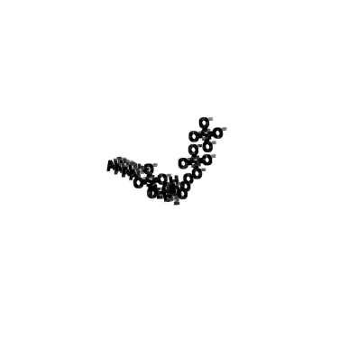 O.O.O.O.O.[Al+3].[Al+3].[Al+3].[Al+3].[O-][Si]([O-])([O-])[O-].[O-][Si]([O-])([O-])[O-].[O-][Si]([O-])([O-])[O-]